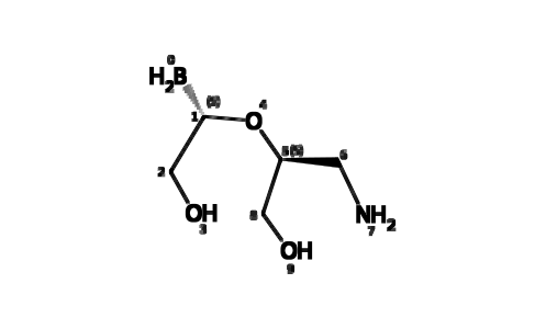 B[C@@H](CO)O[C@@H](CN)CO